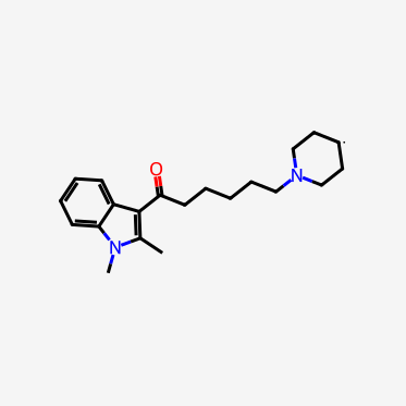 Cc1c(C(=O)CCCCCN2CC[CH]CC2)c2ccccc2n1C